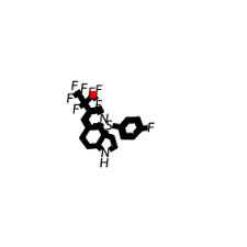 Fc1ccc(SC23CCNC2CCc2cc(C(F)(C(F)(F)F)C(F)(F)F)cnc23)cc1